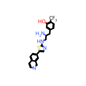 N[C@H](CNc1ncc(-c2ccc3ccncc3c2)s1)Cc1ccc(C(F)(F)F)c(O)c1